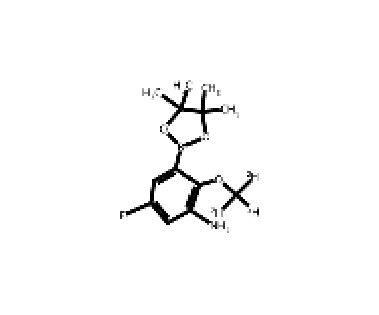 [2H]C([2H])([2H])Oc1c(N)cc(F)cc1B1OC(C)(C)C(C)(C)O1